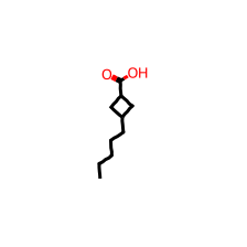 CCCCCC1CC(C(=O)O)C1